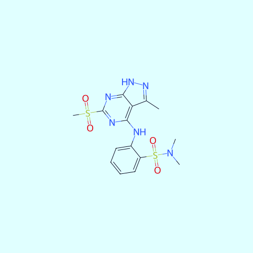 Cc1n[nH]c2nc(S(C)(=O)=O)nc(Nc3ccccc3S(=O)(=O)N(C)C)c12